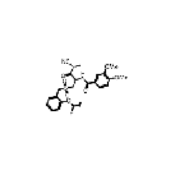 COc1ccc(C(=O)N[C@@H](CS(=O)(=O)Cc2ccccc2OC(F)F)C(=O)N(C)C#N)cc1OC